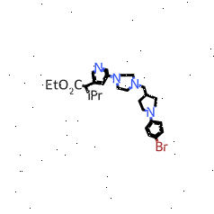 CCOC(=O)C(c1cncc(N2CCN(CC3CCN(c4ccc(Br)cc4)CC3)CC2)c1)C(C)C